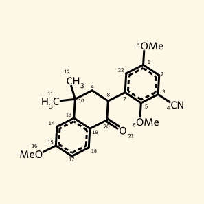 COc1cc(C#N)c(OC)c(C2CC(C)(C)c3cc(OC)ccc3C2=O)c1